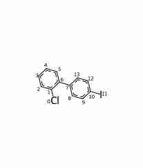 Clc1ccccc1-c1ccc(I)cc1